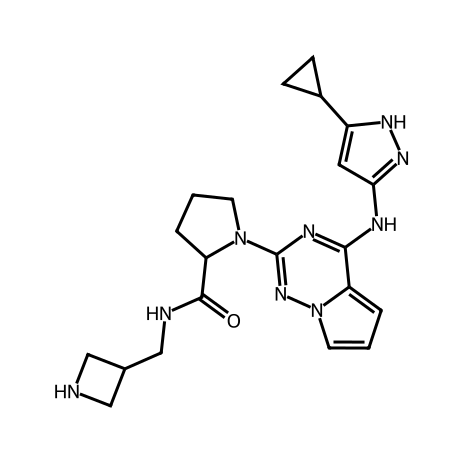 O=C(NCC1CNC1)C1CCCN1c1nc(Nc2cc(C3CC3)[nH]n2)c2cccn2n1